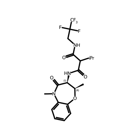 CC(C)C(C(=O)NCC(F)(F)C(F)(F)F)C(=O)N[C@@H]1C(=O)N(C)c2ccccc2O[C@@H]1C